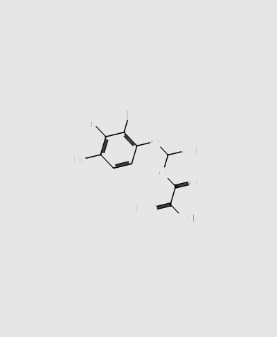 C=C(C)C(=O)OC(C)Oc1ccc(Br)c(Br)c1Br